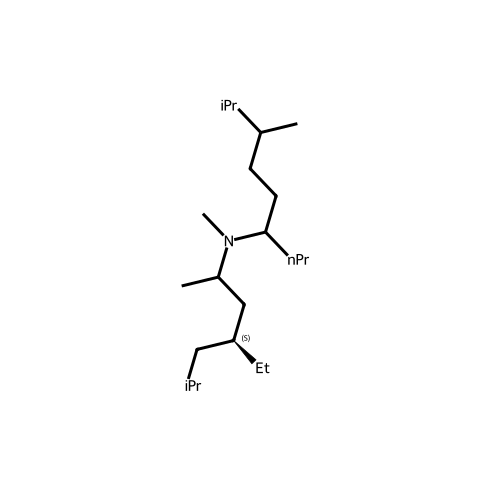 CCCC(CCC(C)C(C)C)N(C)C(C)C[C@@H](CC)CC(C)C